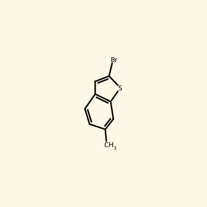 Cc1ccc2cc(Br)sc2c1